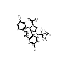 CC(C)(C)C[C@@H]1CN(C(=O)O)[C@H](c2cccc(Cl)c2)[C@]12C(=O)Nc1cc(Cl)ccc12